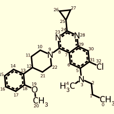 CCCN(C)c1cc2c(N3CCC(c4ccccc4OC)CC3)nc(C3CC3)nc2cc1Cl